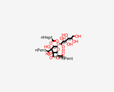 CCCCCCCC(=O)O[C@@H]1[C@H](OC(O)[C@H](O)[C@@H](O)[C@H](O)[C@H](O)CO)O[C@H](C(O)C(=O)CCCCC)[C@](O)(C(=O)CCCCC)[C@@]1(O)C(=O)CCCCC